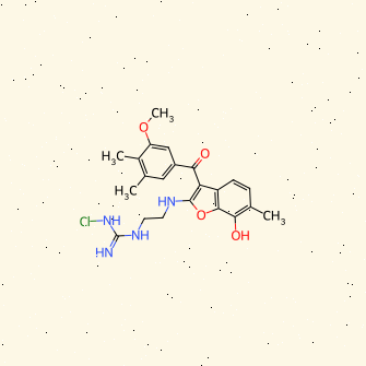 COc1cc(C(=O)c2c(NCCNC(=N)NCl)oc3c(O)c(C)ccc23)cc(C)c1C